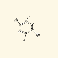 Cc1cc(N=O)c(C)cc1O